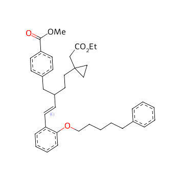 CCOC(=O)CC1(CCC(/C=C/c2ccccc2OCCCCCc2ccccc2)Cc2ccc(C(=O)OC)cc2)CC1